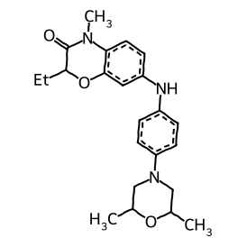 CCC1Oc2cc(Nc3ccc(N4CC(C)OC(C)C4)cc3)ccc2N(C)C1=O